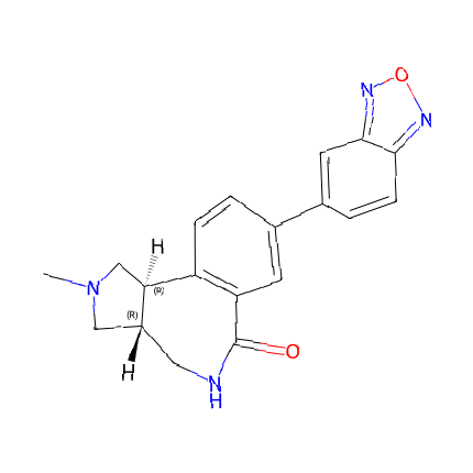 CN1C[C@H]2CNC(=O)c3cc(-c4ccc5nonc5c4)ccc3[C@@H]2C1